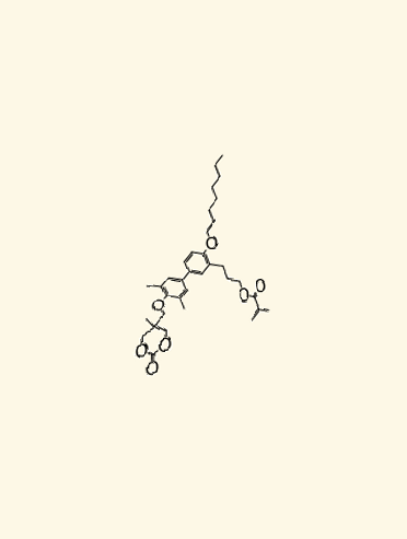 C=C(C)C(=O)OCCCc1cc(-c2cc(C)c(OCC3(C)COC(=O)OC3)c(C)c2)ccc1OCCCCCCCC